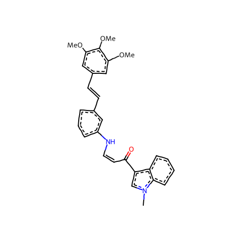 COc1cc(/C=C/c2cccc(N/C=C\C(=O)c3cn(C)c4ccccc34)c2)cc(OC)c1OC